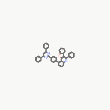 C1=CCC2C(=C1)Oc1c2c(-c2ccccc2)nc2cccc(-c3ccc(-c4nc(-c5ccccc5)cc(-c5ccccc5)n4)cc3)c12